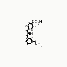 NCc1cccc(CNCc2ccc(C(=O)O)cc2)c1